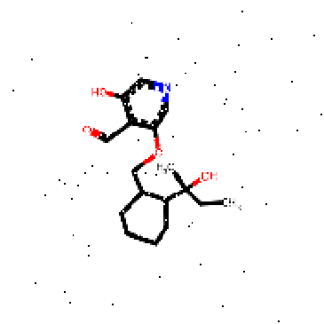 CCC(C)(O)C1CCCCC1COc1cncc(O)c1C=O